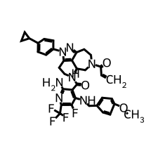 C=CC(=O)N1CCc2nn(-c3ccc(C4CC4)cc3)c3c2[C@H](C1)N(C(=O)c1c(N)nc(C(F)(F)F)c(F)c1NCc1ccc(OC)cc1)CC3